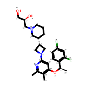 Cc1nc(N2CC([C@H]3CCCN(C[C@H](O)CO)C3)C2)cc(O[C@H](C)c2ccc(Cl)cc2Cl)c1C